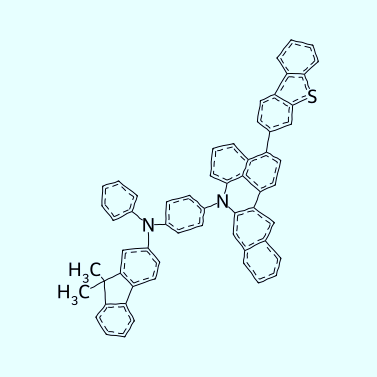 CC1(C)c2ccccc2-c2ccc(N(c3ccccc3)c3ccc(N4c5cc6ccccc6cc5-c5ccc(-c6ccc7c(c6)sc6ccccc67)c6cccc4c56)cc3)cc21